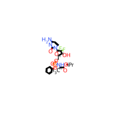 CC(C)OC(=O)[C@H](C)NP(=O)(OC[C@H]1O[C@@H](n2ccc(N)nc2=O)C(F)(F)[C@@H]1O)Oc1ccccc1